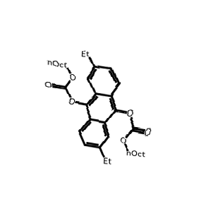 CCCCCCCCOC(=O)Oc1c2ccc(CC)cc2c(OC(=O)OCCCCCCCC)c2ccc(CC)cc12